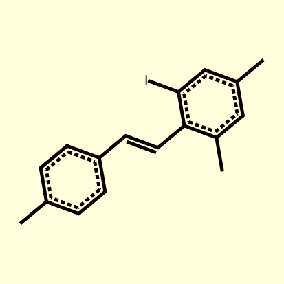 Cc1ccc(/C=C/c2c(C)cc(C)cc2I)cc1